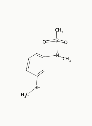 CBc1cccc(N(C)S(C)(=O)=O)c1